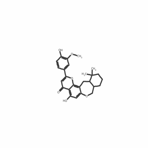 COc1cc(-c2cc(=O)c3c(O)cc4c(c3o2)CC2C(CCCC2(C)C)CO4)ccc1O